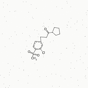 CS(=O)(=O)c1ccc(CCC(=O)C2CCCC2)cc1Cl